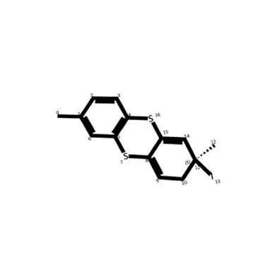 Cc1ccc2c(c1)SC1=CC[C@](C)(I)C=C1S2